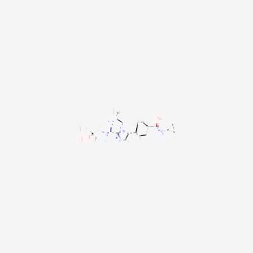 CC(C)(O)CNc1nc(Br)cn2c(-c3ccc(C(=O)NC4CC4)cc3)cnc12